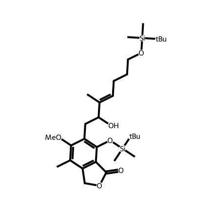 COc1c(C)c2c(c(O[Si](C)(C)C(C)(C)C)c1CC(O)/C(C)=C/CCCO[Si](C)(C)C(C)(C)C)C(=O)OC2